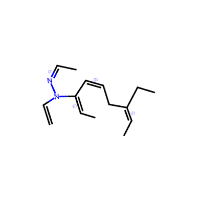 C=CN(/N=C\C)C(/C=C\C/C(=C\C)CC)=C/C